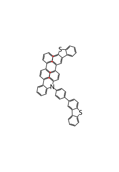 c1ccc(-c2ccc(-c3ccccc3N(c3ccc(-c4ccc5sc6ccccc6c5c4)cc3)c3ccc(-c4ccc5sc6ccccc6c5c4)cc3)cc2)cc1